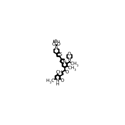 Cc1cc(C)c(CCC(=O)c2cc3cc(-c4cc5c(s4)CN(C(=O)OC(C)(C)C)CC5)cn3c(C(C)N3CCOCC3)c2C)c(=O)[nH]1